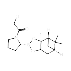 CC1(C)[C@@H]2CC3OB([C@@H]4CCCN4C(=O)CCl)O[C@@]3(C)[C@H]1C2